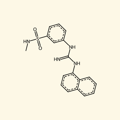 CNS(=O)(=O)c1cccc(NC(=N)Nc2cccc3ccccc23)c1